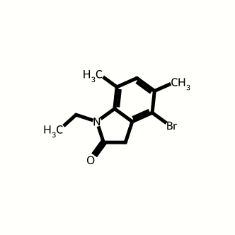 CCN1C(=O)Cc2c(Br)c(C)cc(C)c21